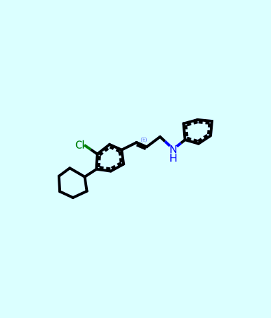 Clc1cc(/C=C/CNc2ccccc2)ccc1C1CCCCC1